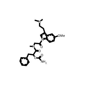 COc1ccc2c(c1)c(CCN(C)C)cn2C(=O)CN(C)C(=O)C(Cc1ccccc1)OC(N)=O